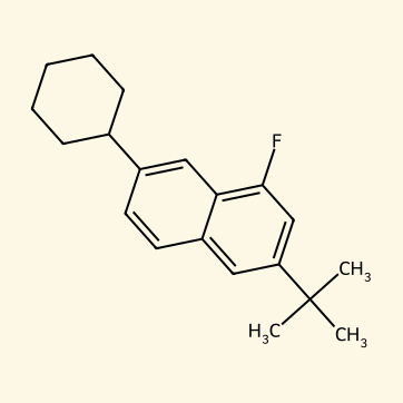 CC(C)(C)c1cc(F)c2cc(C3CCCCC3)ccc2c1